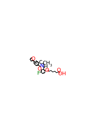 [2H]C(c1cc(F)ccc1OCCCCCC(=O)O)N(C(=O)c1ccc(-c2ccco2)cc1)C(C)C